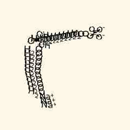 O.O.O.O.O.O.O.O.O.O.O.O.O.O.O.O.O.O.O.O.O.O.O=C(O)O.O=P([O-])([O-])[O-].[Na+].[Na+].[Na+]